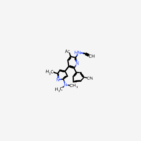 C#CNc1nc(-c2cccc(C#N)c2)c(-c2cc(C)nc(N(C)C)c2)cc1C(C)=O